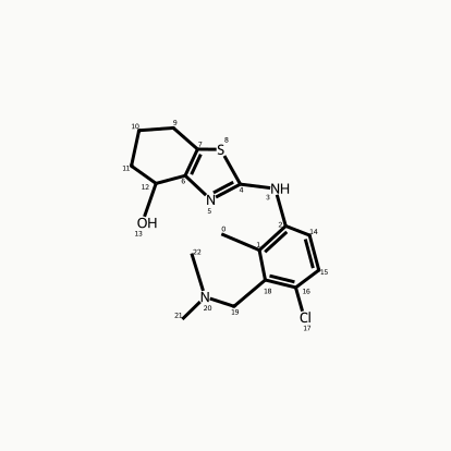 Cc1c(Nc2nc3c(s2)CCCC3O)ccc(Cl)c1CN(C)C